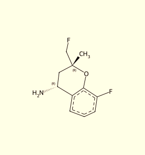 C[C@]1(CF)C[C@@H](N)c2cccc(F)c2O1